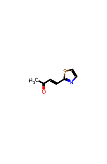 CC(=O)C=Cc1nccs1